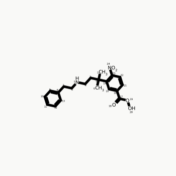 CC(C)(CCNCCc1ccccc1)c1cc(C(=O)OO)ccc1[N+](=O)[O-]